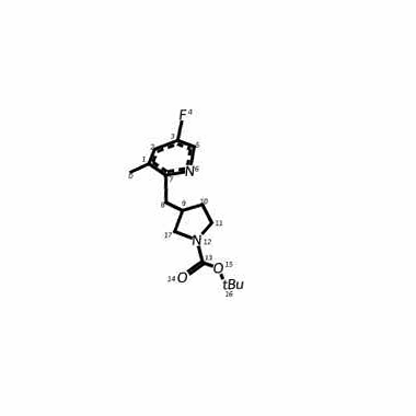 Cc1cc(F)cnc1CC1CCN(C(=O)OC(C)(C)C)C1